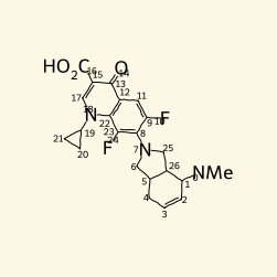 CNC1C=CCC2CN(c3c(F)cc4c(=O)c(C(=O)O)cn(C5CC5)c4c3F)CC21